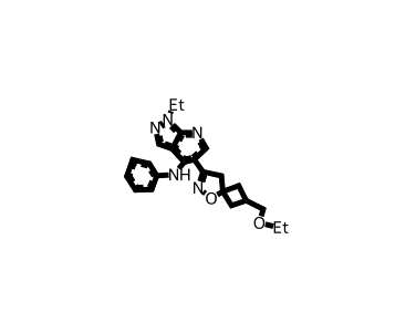 CCOCC1CC2(CC(c3cnc4c(cnn4CC)c3Nc3ccccc3)=NO2)C1